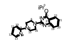 CC(C)Oc1nc(N2CCN(c3ccccn3)CC2)nc2ccccc12